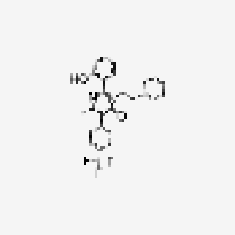 Cc1nc(-c2ccccc2O)n(CCc2ccccc2)c(=O)c1-c1ccc(C(F)(F)F)cc1